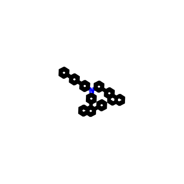 C1=CC2C=Cc3cc(-c4cccc(N(c5ccc(-c6ccc(-c7ccccc7)cc6)cc5)c5ccc(-c6c(-c7ccccc7)ccc7ccccc67)cc5)c4)ccc3C2C=C1